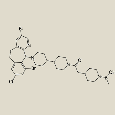 CB(O)N1CCC(CC(=O)N2CCC(C3CCN(C4c5ncc(Br)cc5CCc5cc(Cl)cc(Br)c54)CC3)CC2)CC1